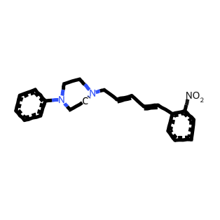 O=[N+]([O-])c1ccccc1C=CC=CCN1CCN(c2ccccc2)CC1